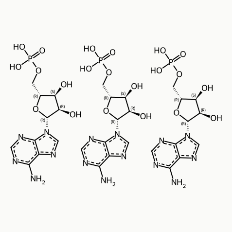 Nc1ncnc2c1ncn2[C@@H]1O[C@H](COP(=O)(O)O)[C@@H](O)[C@H]1O.Nc1ncnc2c1ncn2[C@@H]1O[C@H](COP(=O)(O)O)[C@@H](O)[C@H]1O.Nc1ncnc2c1ncn2[C@@H]1O[C@H](COP(=O)(O)O)[C@@H](O)[C@H]1O